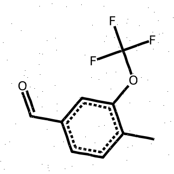 Cc1ccc(C=O)cc1OC(F)(F)F